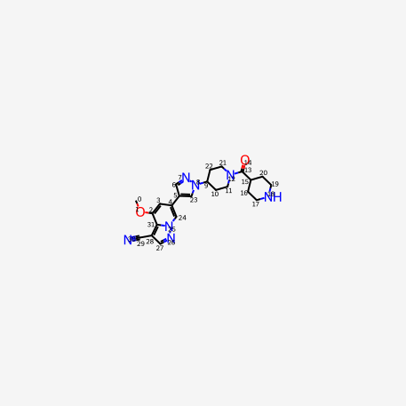 COc1cc(-c2cnn(C3CCN(C(=O)C4CCNCC4)CC3)c2)cn2ncc(C#N)c12